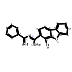 CN/C(=N\C(=N)c1ccccc1)c1ccc2c(oc3ccccc32)c1Cl